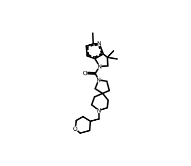 Cc1ccc2c(n1)C(C)(C)CN2C(=O)N1CCC2(CCN(CC3CCOCC3)CC2)C1